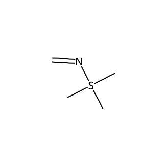 C=NS(C)(C)C